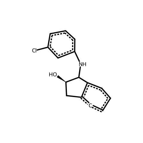 O[C@@H]1Cc2ccccc2C1Nc1cccc(Cl)c1